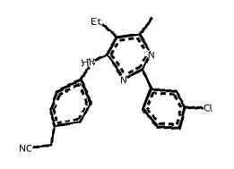 CCc1c(C)nc(-c2cccc(Cl)c2)nc1Nc1ccc(CC#N)cc1